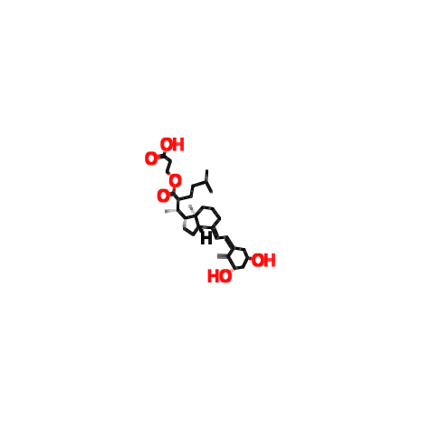 C=C1/C(=C\C=C2/CCC[C@]3(C)[C@@H]([C@H](C)C(CCC(C)C)C(=O)OCCC(=O)O)CC[C@@H]23)C[C@@H](O)C[C@@H]1O